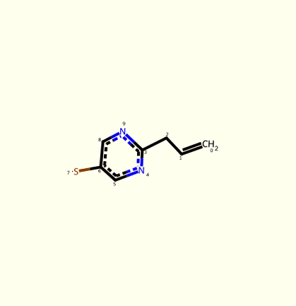 C=CCc1ncc([S])cn1